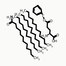 CCCCCCCCCCCC.CCCCCCCCCCCC.CCCCCCCCCCCC.CCCCCCCCCCCC(N)=O.N[C@@H](CCC(=O)OCc1ccccc1)C(=O)O